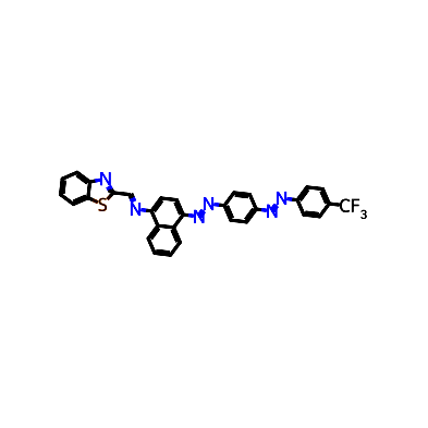 FC(F)(F)c1ccc(/N=N/c2ccc(/N=N/c3ccc(/N=C/c4nc5ccccc5s4)c4ccccc34)cc2)cc1